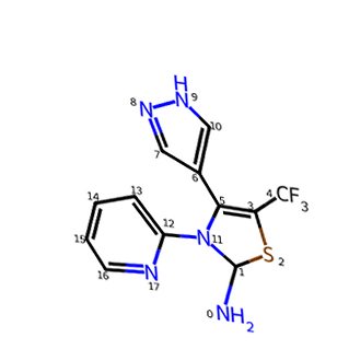 NC1SC(C(F)(F)F)=C(c2cn[nH]c2)N1c1ccccn1